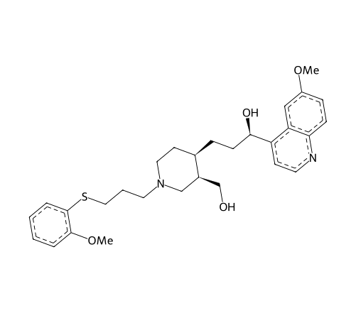 COc1ccc2nccc([C@H](O)CC[C@@H]3CCN(CCCSc4ccccc4OC)C[C@@H]3CO)c2c1